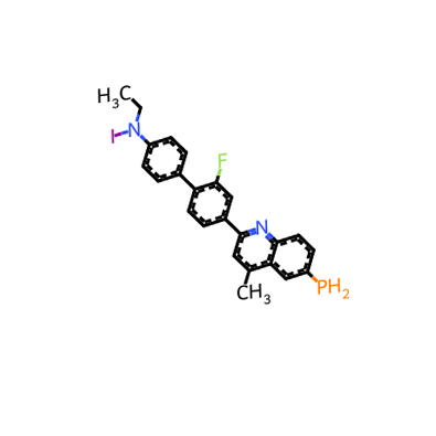 CCN(I)c1ccc(-c2ccc(-c3cc(C)c4cc(P)ccc4n3)cc2F)cc1